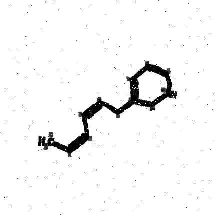 C/C=C\C=C/CC1=CC=CNC1